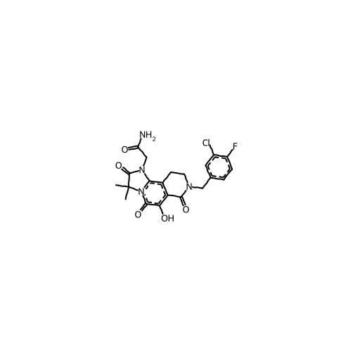 CC1(C)C(=O)N(CC(N)=O)c2c3c(c(O)c(=O)n21)C(=O)N(Cc1ccc(F)c(Cl)c1)CC3